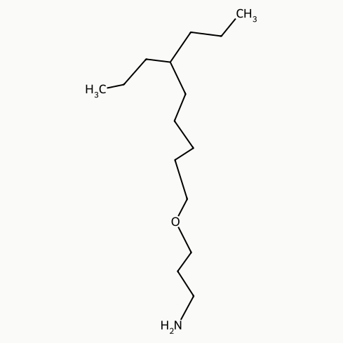 CCCC(CCC)CCCCCOCCCN